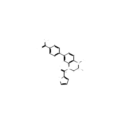 CC(=O)N1c2ccc(-c3ccc(C(N)=O)cc3)cc2N(C(=O)c2ccco2)C[C@@H]1C